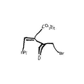 CCC/C=C(\C(=O)CBr)C(=O)OCC